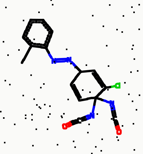 Cc1ccccc1/N=N/C1C=CC(N=C=O)(N=C=O)C(Cl)=C1